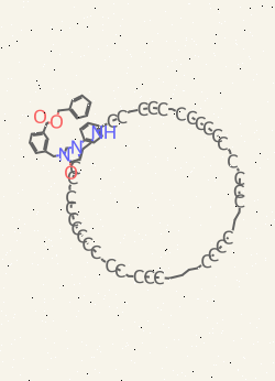 O=C(OCc1ccccc1)c1cccc(CN2CN(c3ccccc3)C3(CCCCCCCCCCCCCCCCCCCCCCCCCCCCCCCCCCCCCCCCCCCCCCCCNCC3)C2=O)c1